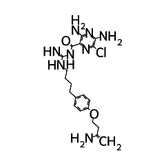 C=C(N)CCOc1ccc(CCCCNC(=N)NC(=O)c2nc(Cl)c(N)nc2N)cc1